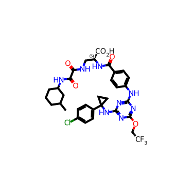 CC1CCCC(NC(=O)C(=O)NC[C@H](NC(=O)c2ccc(Nc3nc(NC4(c5ccc(Cl)cc5)CC4)nc(OCC(F)(F)F)n3)cc2)C(=O)O)C1